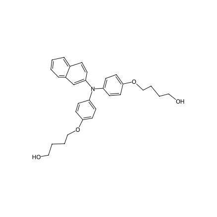 OCCCCOc1ccc(N(c2ccc(OCCCCO)cc2)c2ccc3ccccc3c2)cc1